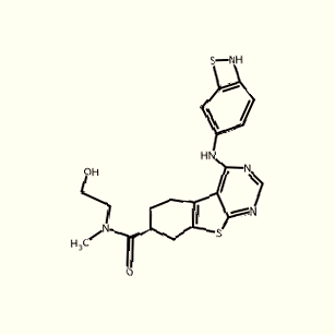 CN(CCO)C(=O)[C@H]1CCc2c(sc3ncnc(Nc4ccc5[nH]sc5c4)c23)C1